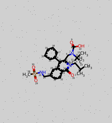 CC(C)Cn1c(CN(C(=O)O)C(C)(C)C)c(-c2ccccc2)c2cc(CNS(C)(=O)=O)ccc2c1=O